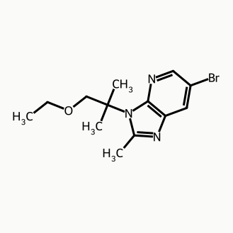 CCOCC(C)(C)n1c(C)nc2cc(Br)cnc21